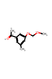 COCOc1cc(C)cc(C(C)=O)c1